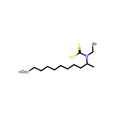 CCCCCCCCCCCCCCCCCCC(C)N(CC(C)C)C(=S)S